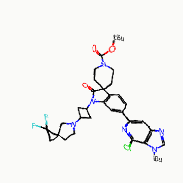 CC[C@H](C)n1cnc2cc(-c3ccc4c(c3)N(C3CC(N5CC[C@@]6(C5)CC6(F)F)C3)C(=O)C43CCN(C(=O)OC(C)(C)C)CC3)nc(Cl)c21